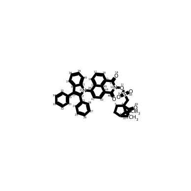 CC1(C)C2CCC1(CS(=O)(=O)ON1C(=O)c3cccc4c(-n5c(-c6ccccc6)c(-c6ccccc6)c6ccccc65)ccc(c34)C1=O)C(=O)C2